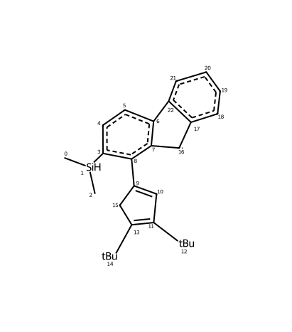 C[SiH](C)c1ccc2c(c1C1=CC(C(C)(C)C)=C(C(C)(C)C)C1)[CH]c1ccccc1-2